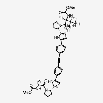 [2H]C([2H])([2H])C([2H])(C([2H])([2H])[2H])[C@@]([2H])(NC(=O)OC)C(=O)N1CCC[C@H]1c1ncc(-c2ccc(C#Cc3ccc(-c4cnc([C@@H]5CCCN5C(=O)[C@@H](NC(=O)OC)C(C)C)[nH]4)cc3)cc2)[nH]1